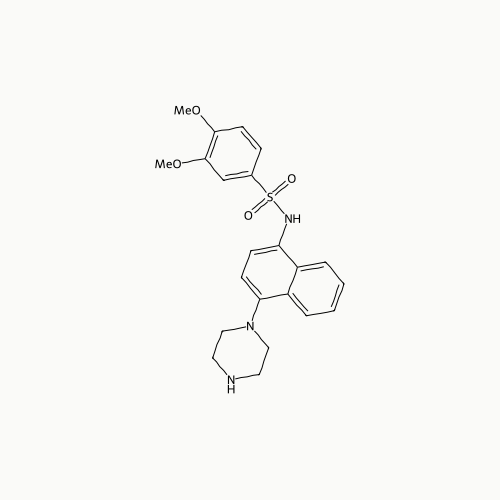 COc1ccc(S(=O)(=O)Nc2ccc(N3CCNCC3)c3ccccc23)cc1OC